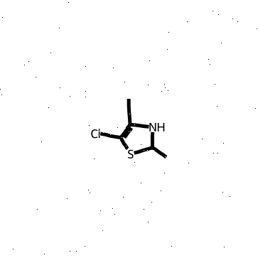 CC1=C(Cl)SC(C)N1